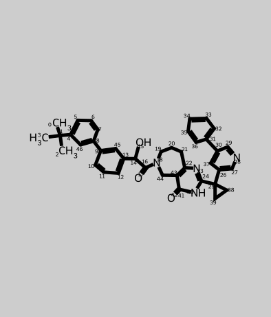 CC(C)(C)c1cccc(-c2cccc(C(O)C(=O)N3CCCc4nc(C5(c6cncc(-c7ccccc7)c6)CC5)[nH]c(=O)c4C3)c2)c1